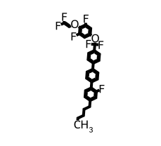 CCCCCc1ccc(-c2ccc(-c3ccc(C(F)(F)Oc4cc(F)c(OC=C(F)F)c(F)c4)cc3)cc2)c(F)c1